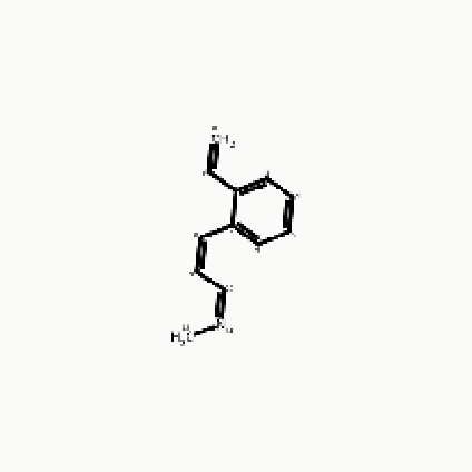 C=Cc1ccccc1/C=C\C=N/C